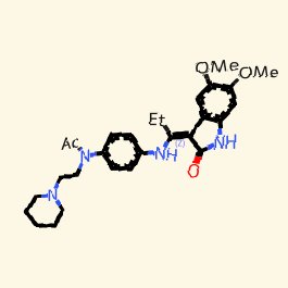 CC/C(Nc1ccc(N(CCN2CCCCC2)C(C)=O)cc1)=C1/C(=O)Nc2cc(OC)c(OC)cc21